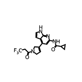 O=C(Nc1cc(C2=CCN(C(=O)CC(F)(F)F)C2)c2cc[nH]c2n1)C1CC1